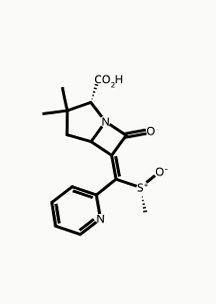 C[S@@+]([O-])/C(=C1\C(=O)N2C1CC(C)(C)[C@@H]2C(=O)O)c1ccccn1